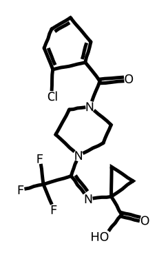 O=C(c1ccccc1Cl)N1CCN(C(=NC2(C(=O)O)CC2)C(F)(F)F)CC1